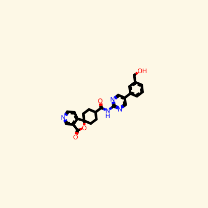 O=C1OC2(CCC(C(=O)Nc3ncc(-c4cccc(CO)c4)cn3)CC2)c2ccncc21